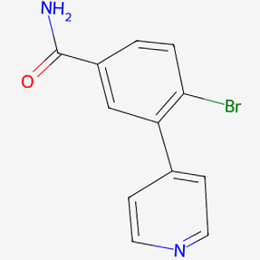 NC(=O)c1ccc(Br)c(-c2ccncc2)c1